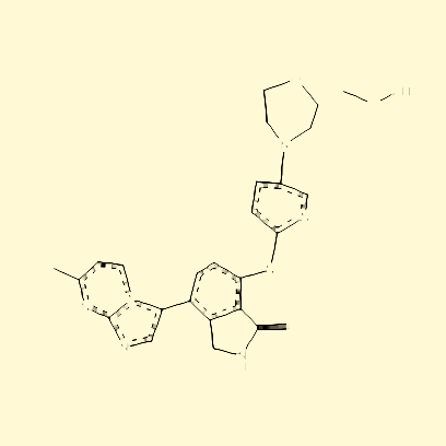 COC[C@@H]1CN(c2ccc(Nc3ccc(-c4cnc5nc(C)ccn45)c4c3C(=O)NC4)nc2)CCO1